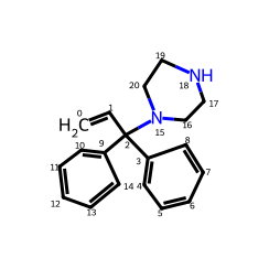 C=CC(c1ccccc1)(c1ccccc1)N1CCNCC1